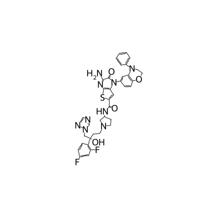 Nc1nc2sc(C(=O)N[C@@H]3CCN(CC[C@](O)(Cn4cncn4)c4ccc(F)cc4F)C3)cc2n(-c2ccc3c(c2)N(c2ccccc2)CCO3)c1=O